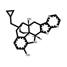 Oc1ccc2c3c1N[C@H]1c4oc5nccnc5c4C[C@@]4(O)C(C2)N(CC2CC2)CC[C@]314